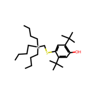 CCCC[Si](CCCC)(CCCC)CSc1cc(C(C)(C)C)c(O)cc1C(C)(C)C